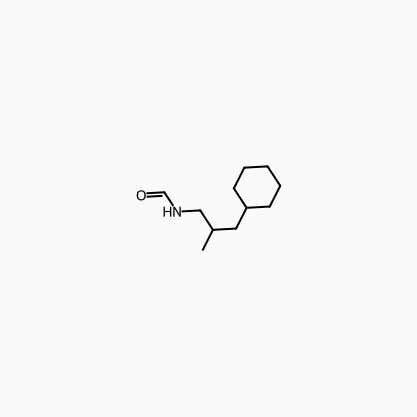 CC(CNC=O)CC1CCCCC1